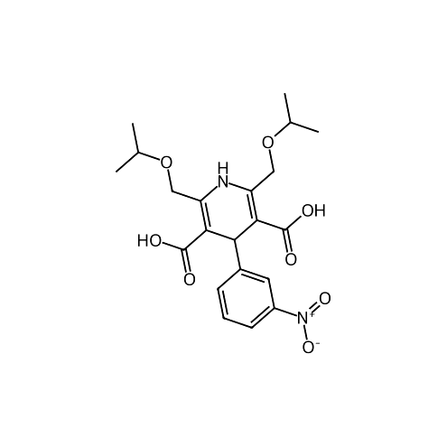 CC(C)OCC1=C(C(=O)O)C(c2cccc([N+](=O)[O-])c2)C(C(=O)O)=C(COC(C)C)N1